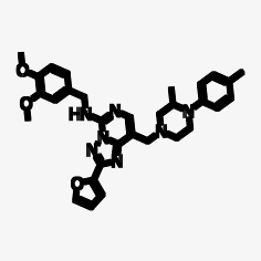 COc1ccc(CNc2ncc(CN3CCN(c4ccc(C)cc4)C(C)C3)c3nc(-c4ccco4)nn23)cc1OC